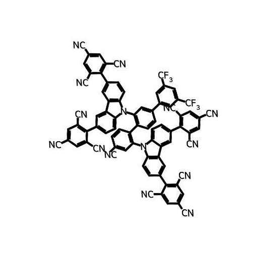 N#Cc1cc(C#N)c(-c2ccc3c(c2)c2cc(-c4c(C#N)cc(C#N)cc4C#N)ccc2n3-c2cc(C#N)ccc2-c2ccc(-c3cc(C(F)(F)F)cc(C(F)(F)F)c3)cc2-n2c3ccc(-c4c(C#N)cc(C#N)cc4C#N)cc3c3cc(-c4c(C#N)cc(C#N)cc4C#N)ccc32)c(C#N)c1